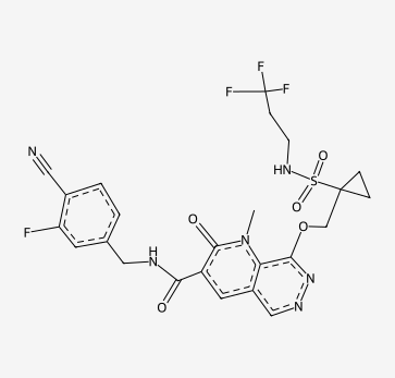 Cn1c(=O)c(C(=O)NCc2ccc(C#N)c(F)c2)cc2cnnc(OCC3(S(=O)(=O)NCCC(F)(F)F)CC3)c21